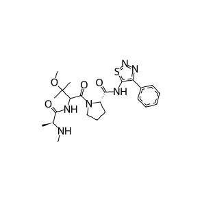 CN[C@@H](C)C(=O)NC(C(=O)N1CCC[C@H]1C(=O)Nc1snnc1-c1ccccc1)C(C)(C)OC